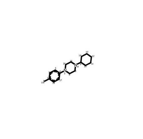 Ic1ccc(N2CCN(C3CCCCC3)CC2)cc1